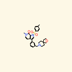 Cc1ccc(S(=O)(=O)n2cc(-c3cccc(CN4CCC5(CCOC5)CC4)c3)c3ccn(C)c(=O)c32)cc1